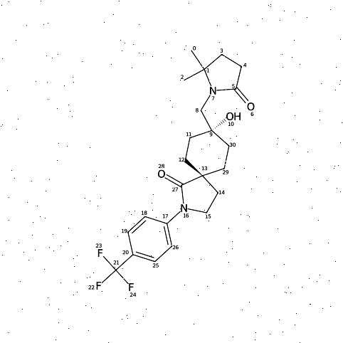 CC1(C)CCC(=O)N1C[C@]1(O)CC[C@]2(CCN(c3ccc(C(F)(F)F)cc3)C2=O)CC1